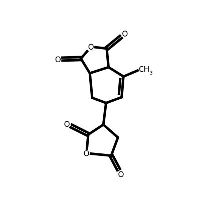 CC1=CC(C2CC(=O)OC2=O)CC2C(=O)OC(=O)C12